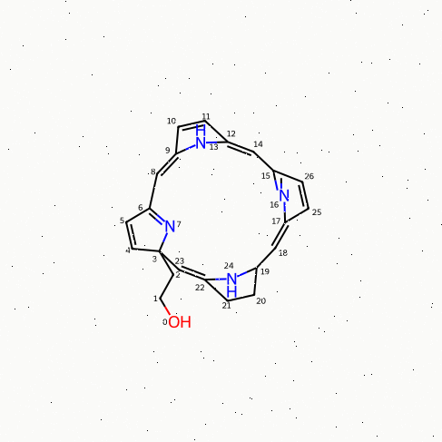 OCCC12C=CC(=N1)C=c1ccc([nH]1)=CC1=NC(=CC3CCC(=C2)N3)C=C1